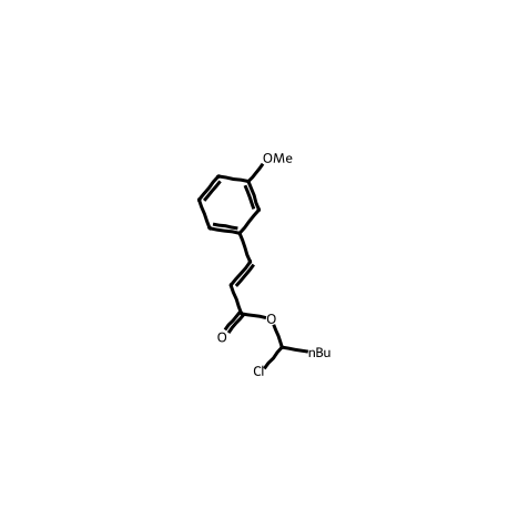 CCCCC(Cl)OC(=O)/C=C/c1cccc(OC)c1